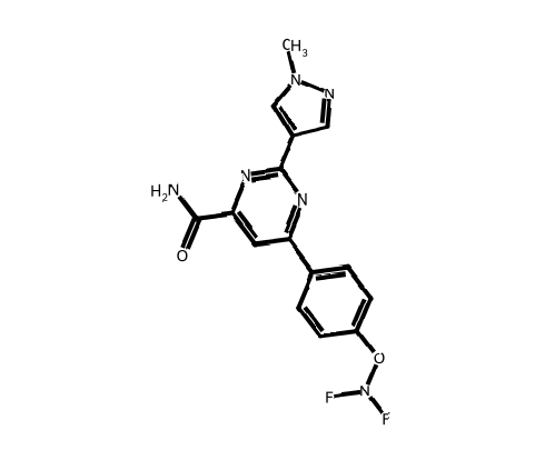 Cn1cc(-c2nc(C(N)=O)cc(-c3ccc(ON(F)F)cc3)n2)cn1